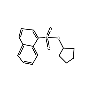 O=S(=O)(OC1CCCC1)c1cccc2ccccc12